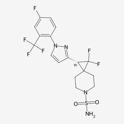 NS(=O)(=O)N1CCC2(CC1)[C@H](c1ccn(-c3ccc(F)cc3C(F)(F)F)n1)C2(F)F